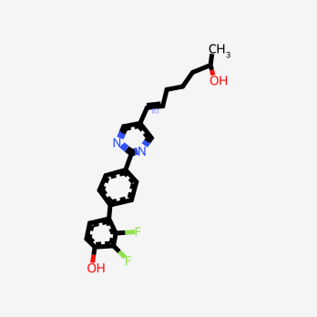 CC(O)CCC/C=C/c1cnc(-c2ccc(-c3ccc(O)c(F)c3F)cc2)nc1